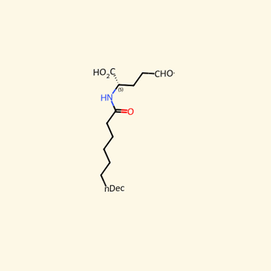 CCCCCCCCCCCCCCCC(=O)N[C@@H](CC[C]=O)C(=O)O